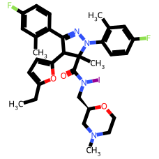 CCc1ccc(C2C(c3ccc(F)cc3C)=NN(c3ccc(F)cc3C)C2(C)C(=O)N(I)C[C@@H]2CN(C)CCO2)o1